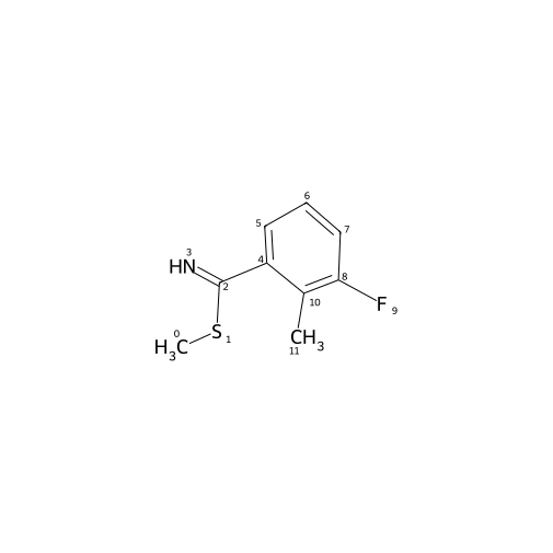 CSC(=N)c1cccc(F)c1C